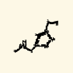 CCn1cc(CNC)nn1